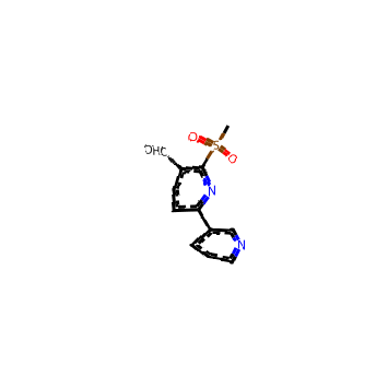 CS(=O)(=O)c1nc(-c2cccnc2)ccc1C=O